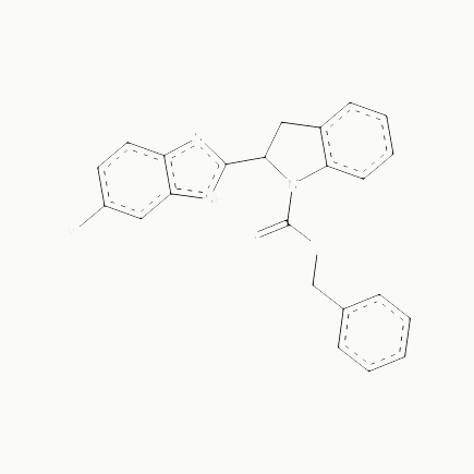 O=C(OCc1ccccc1)N1c2ccccc2CC1c1nc2ccc(Br)cc2[nH]1